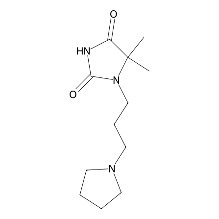 CC1(C)C(=O)NC(=O)N1CCCN1CCCC1